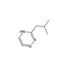 CC(C)CC1=NN=C=CN1